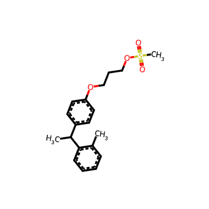 Cc1ccccc1C(C)c1ccc(OCCCOS(C)(=O)=O)cc1